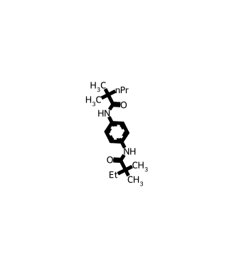 CCCC(C)(C)C(=O)Nc1ccc(NC(=O)C(C)(C)CC)cc1